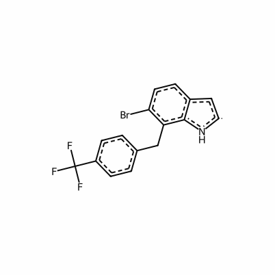 FC(F)(F)c1ccc(Cc2c(Br)ccc3c[c][nH]c23)cc1